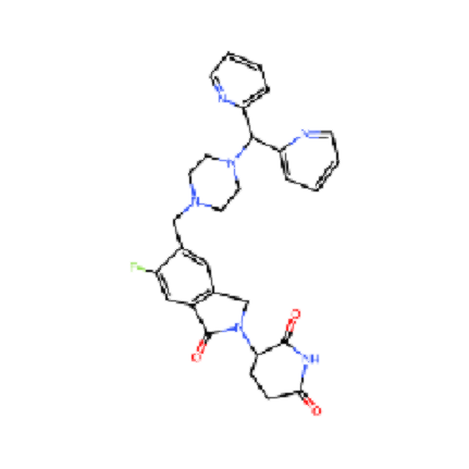 O=C1CCC(N2Cc3cc(CN4CCN(C(c5ccccn5)c5ccccn5)CC4)c(F)cc3C2=O)C(=O)N1